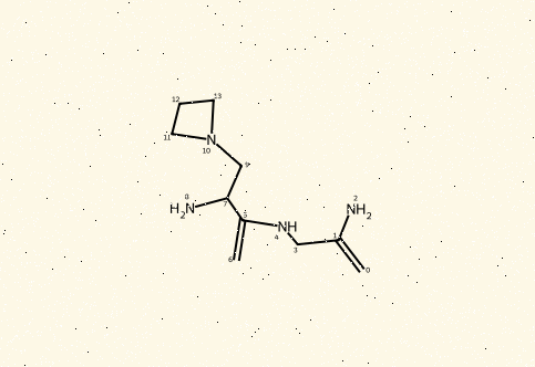 C=C(N)CNC(=C)C(N)CN1CCC1